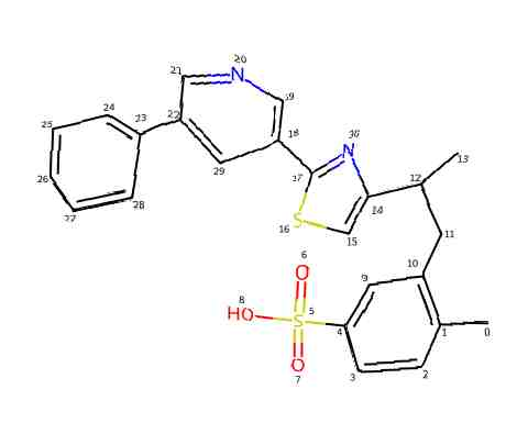 Cc1ccc(S(=O)(=O)O)cc1CC(C)c1csc(-c2cncc(-c3ccccc3)c2)n1